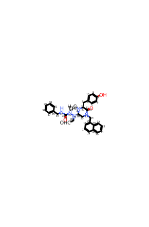 CN1[C@@H](Cc2ccc(O)cc2)C(=O)N(Cc2cccc3ccccc23)C[C@@H]1N(CC=O)N(C)C(=O)NCc1ccccc1